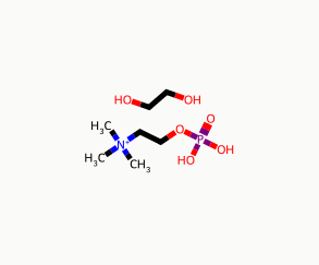 C[N+](C)(C)CCOP(=O)(O)O.OCCO